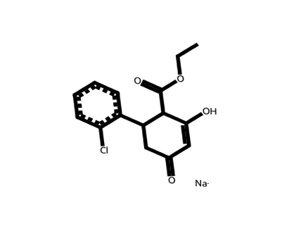 CCOC(=O)C1C(O)=CC(=O)CC1c1ccccc1Cl.[Na]